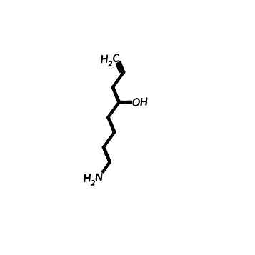 C=CCC(O)CCCCN